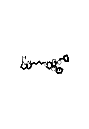 O=C(OCc1ccccc1)C(c1ccccc1)C1(O)CCN(CCCCCc2ccc3c(n2)NCCC3)CC1